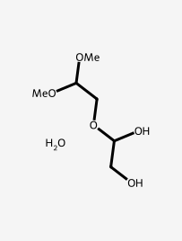 COC(COC(O)CO)OC.O